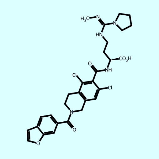 C/N=C(\NCC[C@H](NC(=O)c1c(Cl)cc2c(c1Cl)CCN(C(=O)c1ccc3ccoc3c1)C2)C(=O)O)N1CCCC1